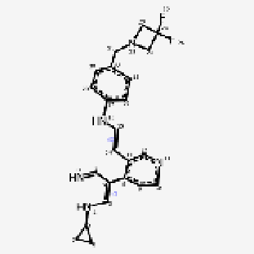 N=C/C(=C\NC1CC1)c1ccncc1/C=C/Nc1ccc(CN2CC(F)(F)C2)cc1